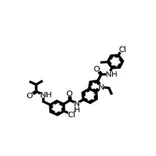 CCn1c(C(=O)Nc2ccc(Cl)cc2C)cc2cc(NC(=O)c3cc(CNC(=O)C(C)C)ccc3Cl)ccc21